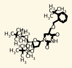 CC(C)(C)c1ccccc1COCc1cn([C@H]2C[C@H](O[Si](C)(C)C(C)(C)C)[C@@H](CO[Si](C)(C)C(C)(C)C)O2)c(=O)[nH]c1=O